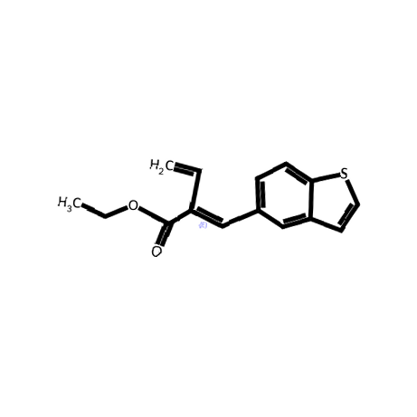 C=C/C(=C\c1ccc2sccc2c1)C(=O)OCC